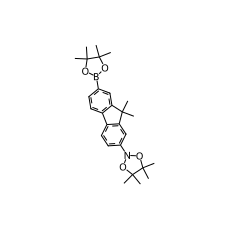 CC1(C)c2cc(B3OC(C)(C)C(C)(C)O3)ccc2-c2ccc(N3OC(C)(C)C(C)(C)O3)cc21